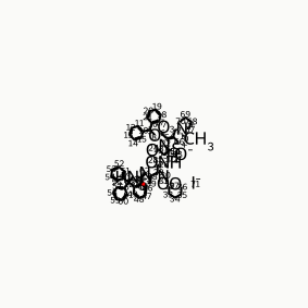 CC[N+]1(CC2=C(C(=O)OC(c3ccccc3)c3ccccc3)N3C(=O)C(NC(=O)C(=NOC4CCCCO4)c4csc(NC(c5ccccc5)(c5ccccc5)c5ccccc5)n4)[C@@H]3[S+]([O-])C2)CCCC1.[I-]